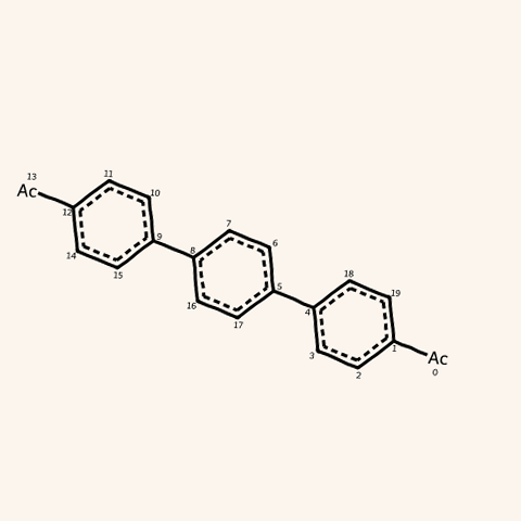 CC(=O)c1ccc(-c2ccc(-c3ccc(C(C)=O)cc3)cc2)cc1